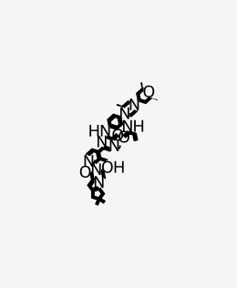 C=CC(=O)Nc1cc(Nc2nc(-c3ccnc(N4CCn5c(cc6c5CC(C)(C)C6)C4=O)c3CO)cn(C)c2=O)ccc1N1CCN(C2C[C@@H](C)O[C@H](C)C2)C[C@@H]1C